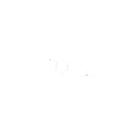 CC(C)(C)OP(=O)(O)Oc1ccc(O)c(C(C)(C)C)c1